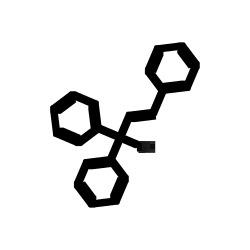 OC(C=Cc1ccccc1)(c1ccccc1)c1ccccc1